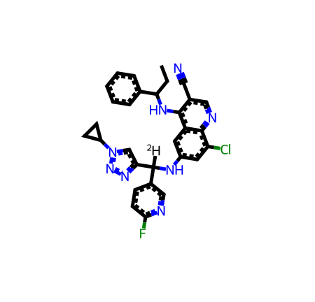 [2H]C(Nc1cc(Cl)c2ncc(C#N)c(NC(CC)c3ccccc3)c2c1)(c1ccc(F)nc1)c1cn(C2CC2)nn1